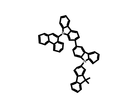 CC1(C)c2ccccc2-c2ccc(-n3c4ccccc4c4cc(-c5ccc6c7ccccc7n(-c7cc8ccccc8c8ccccc78)c6c5)ccc43)cc21